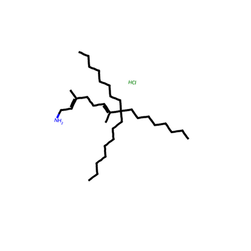 CCCCCCCCC(CCCCCCCC)(CCCCCCCC)C(C)=CCCC(C)=CCN.Cl